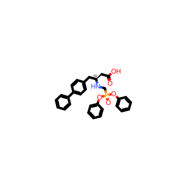 O=C(O)C[C@H](Cc1ccc(-c2ccccc2)cc1)NCP(=O)(Oc1ccccc1)Oc1ccccc1